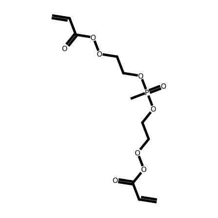 C=CC(=O)OOCCOP(C)(=O)OCCOOC(=O)C=C